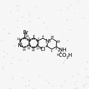 O=C(O)NC1CCN(Cc2cc3c(Br)cncc3cc2Cl)CC1